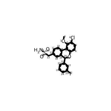 COc1c(Cl)ccc2c1-c1ccc(CS(N)(=O)=O)cc1C(c1cccc(F)c1)O2